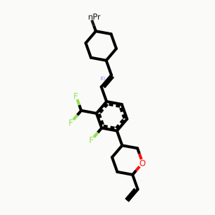 C=CC1CCC(c2ccc(/C=C/C3CCC(CCC)CC3)c(C(F)F)c2F)CO1